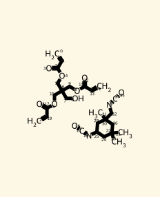 C=CC(=O)OCC(CO)(COC(=O)C=C)COC(=O)C=C.CC1(C)CC(N=C=O)CC(C)(CN=C=O)C1